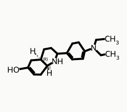 CCN(CC)C1=CC=C(C2CC[C@@H]3CC(O)=CC[C@@H]3N2)CC1